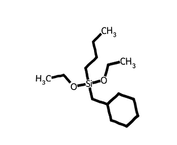 CCCC[Si](CC1CCCCC1)(OCC)OCC